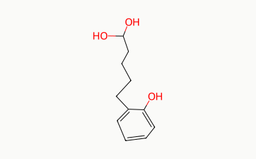 Oc1ccccc1CCCCC(O)O